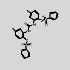 Cc1ccc(OS(=O)(=O)c2ccccc2)c(NC(=O)Nc2cc(C)ccc2OS(=O)(=O)c2ccccc2)c1